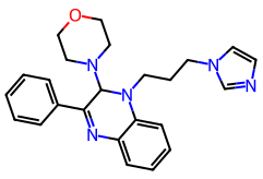 c1ccc(C2=Nc3ccccc3N(CCCn3ccnc3)C2N2CCOCC2)cc1